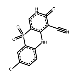 N#Cc1c2c(c[nH]c1=O)S(=O)(=O)c1cc(Cl)ccc1N2